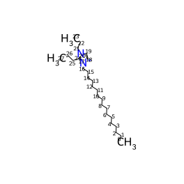 CCCCCCCCCCCCCCCCC[n+]1ccn(CCC)c1CCC